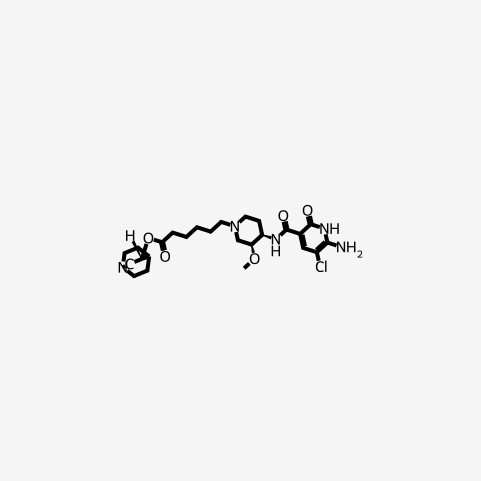 CO[C@H]1CN(CCCCCC(=O)O[C@H]2CN3CCC2CC3)CC[C@H]1NC(=O)c1cc(Cl)c(N)[nH]c1=O